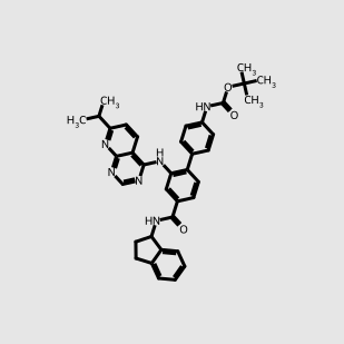 CC(C)c1ccc2c(Nc3cc(C(=O)NC4CCc5ccccc54)ccc3-c3ccc(NC(=O)OC(C)(C)C)cc3)ncnc2n1